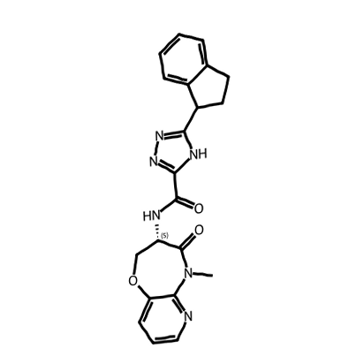 CN1C(=O)[C@@H](NC(=O)c2nnc(C3CCc4ccccc43)[nH]2)COc2cccnc21